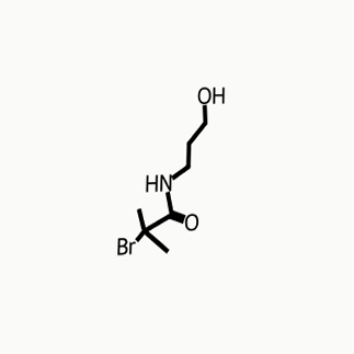 CC(C)(Br)C(=O)NCCCO